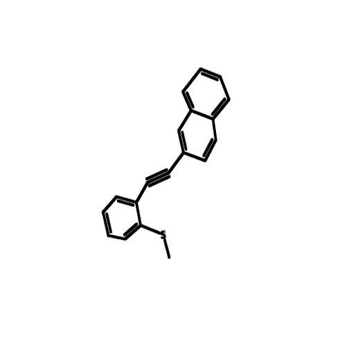 CSc1ccccc1C#Cc1ccc2ccccc2c1